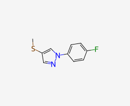 CSc1cnn(-c2ccc(F)cc2)c1